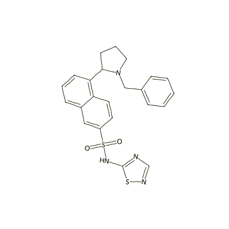 O=S(=O)(Nc1ncns1)c1ccc2c(C3CCCN3Cc3ccccc3)cccc2c1